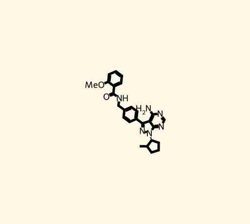 COc1ccccc1C(=O)NCc1ccc(-c2nn([C@@H]3CCCC3C)c3ncnc(N)c23)cc1